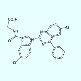 O=C(O)CNC(=O)c1cn(-c2nc(-c3ccccc3)c3cc(Cl)ccc3n2)c2ccc(Cl)cc12